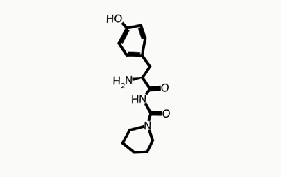 N[C@@H](Cc1ccc(O)cc1)C(=O)NC(=O)N1CCCCC1